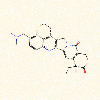 CCC1(O)C(=O)OCc2c1cc1n(c2=O)Cc2c-1nc1ccc(CN(C)C)c3c1c2CCS3